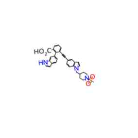 CS(=O)(=O)N1CCC(Cn2ccc3cc(C#Cc4cccc(C(=O)O)c4-c4ccc5cc[nH]c5c4)ccc32)CC1